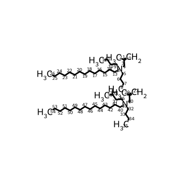 C=C(C)C[N+](CCCC)(CCCC)CCCCCCCCCCCCCC.C=C(C)C[N+](CCCC)(CCCC)CCCCCCCCCCCCCCC